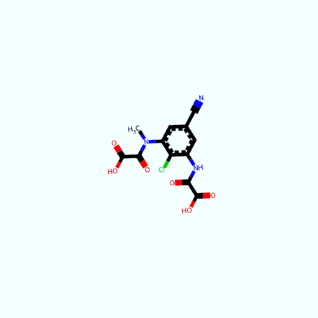 CN(C(=O)C(=O)O)c1cc(C#N)cc(NC(=O)C(=O)O)c1Cl